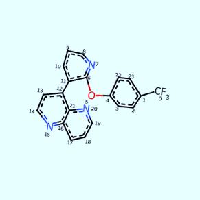 FC(F)(F)c1ccc(Oc2ncccc2-c2ccnc3cccnc23)cc1